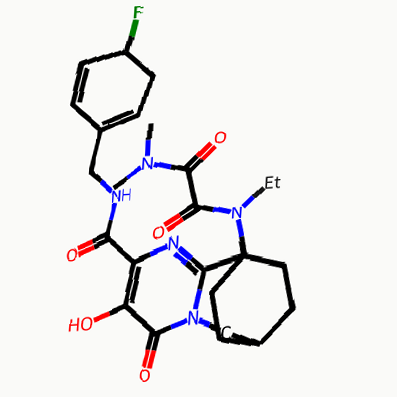 CCN(C(=O)C(=O)N(C)C)C12CCC(CC1)Cn1c2nc(C(=O)NCC2=CCC(F)C=C2)c(O)c1=O